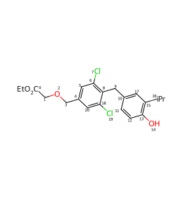 CCOC(=O)COCc1cc(Cl)c(Cc2ccc(O)c(C(C)C)c2)c(Cl)c1